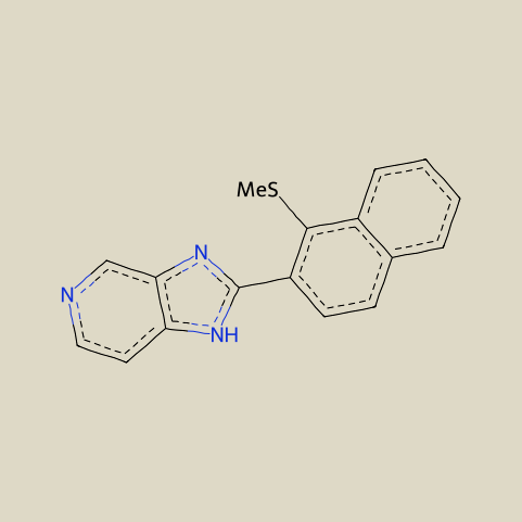 CSc1c(-c2nc3cnccc3[nH]2)ccc2ccccc12